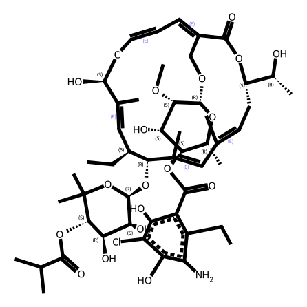 CCc1c(N)c(O)c(Cl)c(O)c1C(=O)O[C@H]1[C@H](O)[C@H](OC)[C@H](OC/C2=C\C=C\C[C@H](O)/C(C)=C/[C@H](CC)[C@@H](O[C@@H]3OC(C)(C)[C@@H](OC(=O)C(C)C)[C@H](O)[C@@H]3O)/C(C)=C/C(C)=C/C[C@@H]([C@@H](C)O)OC2=O)O[C@@H]1C